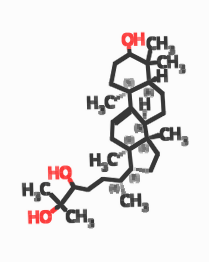 C[C@H](CCC(O)C(C)(C)O)[C@H]1CC[C@@]2(C)[C@@H]3CC[C@H]4C(C)(C)C(O)CC[C@]4(C)C3=CC[C@]12C